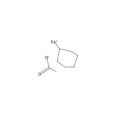 CC(=O)[O-].[Ca+][CH]1CCCCC1